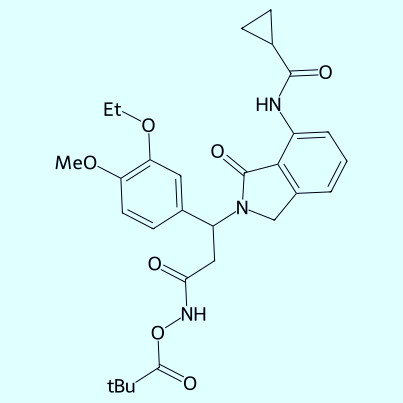 CCOc1cc(C(CC(=O)NOC(=O)C(C)(C)C)N2Cc3cccc(NC(=O)C4CC4)c3C2=O)ccc1OC